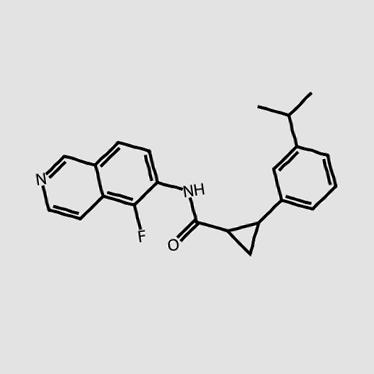 CC(C)c1cccc(C2CC2C(=O)Nc2ccc3cnccc3c2F)c1